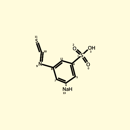 O=S(=O)(O)c1cccc(N=C=S)c1.[NaH]